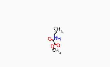 CCCNC(=O)C(=O)OC